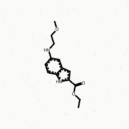 CCOC(=O)c1cc2cc(NCCOC)ccc2[nH]1